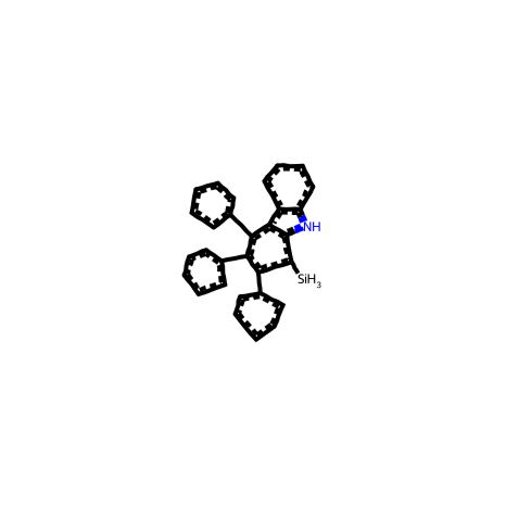 [SiH3]c1c(-c2ccccc2)c(-c2ccccc2)c(-c2ccccc2)c2c1[nH]c1ccccc12